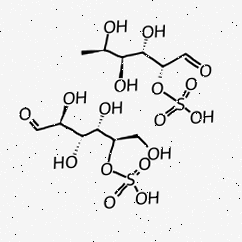 C[C@@H](O)[C@H](O)[C@H](O)[C@H](C=O)OS(=O)(=O)O.O=C[C@@H](O)[C@@H](O)[C@H](O)[C@@H](CO)OS(=O)(=O)O